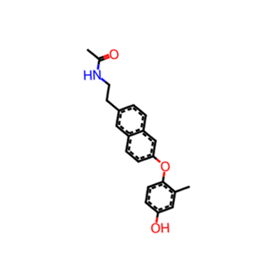 CC(=O)NCCc1ccc2cc(Oc3ccc(O)cc3C)ccc2c1